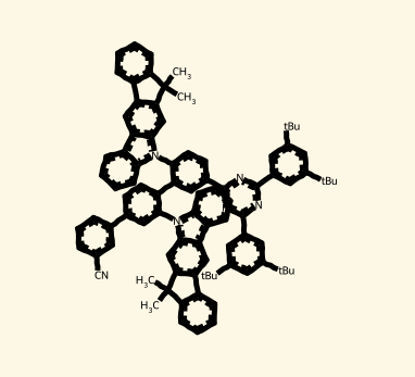 CC(C)(C)c1cc(-c2nc(-c3cc(C(C)(C)C)cc(C(C)(C)C)c3)nc(-c3ccc(-n4c5ccccc5c5cc6c(cc54)C(C)(C)c4ccccc4-6)c(-c4ccc(-c5cccc(C#N)c5)cc4-n4c5ccccc5c5cc6c(cc54)C(C)(C)c4ccccc4-6)c3)n2)cc(C(C)(C)C)c1